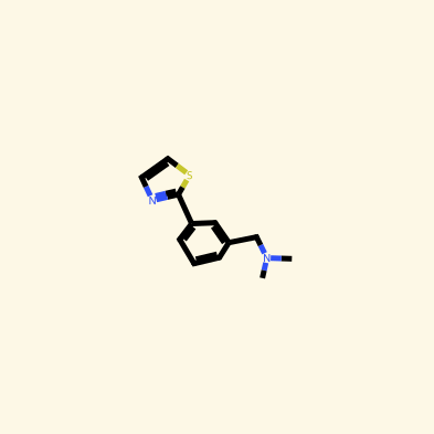 CN(C)Cc1cccc(-c2nc[c]s2)c1